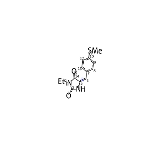 CCN1C(=O)N/C(=C/c2ccc(SC)cc2)C1=O